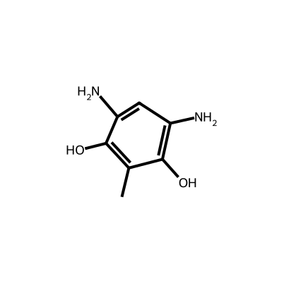 Cc1c(O)c(N)cc(N)c1O